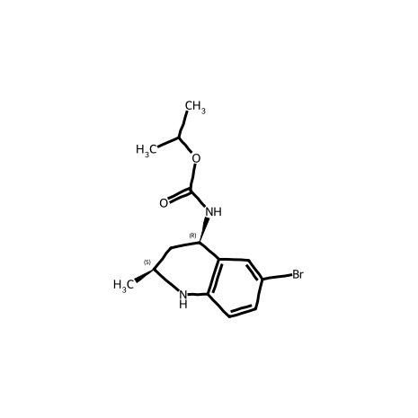 CC(C)OC(=O)N[C@@H]1C[C@H](C)Nc2ccc(Br)cc21